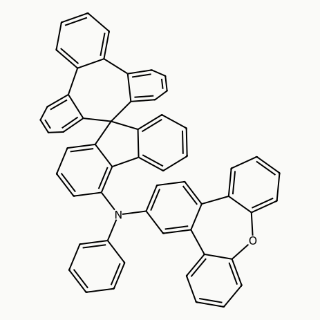 c1ccc(N(c2ccc3c(c2)-c2ccccc2Oc2ccccc2-3)c2cccc3c2-c2ccccc2C32c3ccccc3-c3ccccc3-c3ccccc32)cc1